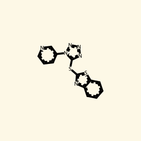 c1cncc(-n2nnnc2Sc2nc3ccccc3s2)c1